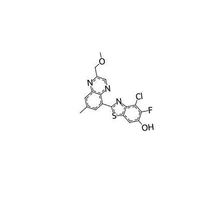 COCc1cnc2c(-c3nc4c(Cl)c(F)c(O)cc4s3)cc(C)cc2n1